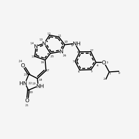 CC(C)Oc1cccc(Nc2ccn3ncc(C=C4NC(=O)NC4=O)c3n2)c1